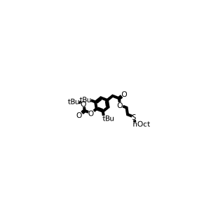 CCCCCCCCSCCOC(=O)Cc1cc(C(C)(C)C)c(OC(=O)OC(C)(C)C)c(C(C)(C)C)c1